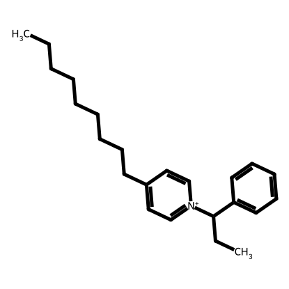 CCCCCCCCCc1cc[n+](C(CC)c2ccccc2)cc1